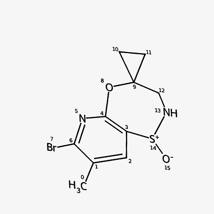 Cc1cc2c(nc1Br)OC1(CC1)CN[S+]2[O-]